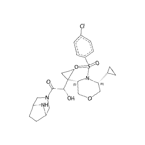 O=C(C(O)C1([C@H]2COC[C@@H](C3CC3)N2S(=O)(=O)c2ccc(Cl)cc2)CC1)N1CC2CCC(C1)N2